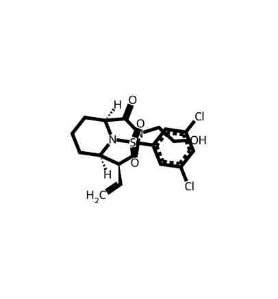 C=C[C@@H]1CN(CCO)C(=O)[C@@H]2CCC[C@H]1N2S(=O)(=O)c1cc(Cl)cc(Cl)c1